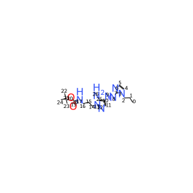 CCCn1ccnc1/N=N/c1cnn(CCCNC(=O)OC(C)(C)C)c1N